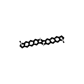 Cn1ccc2cc3cc4cc5c(cc4cc3cc21)sc1c2cc3cc4cc6ccn(C)c6cc4cc3cc2sc51